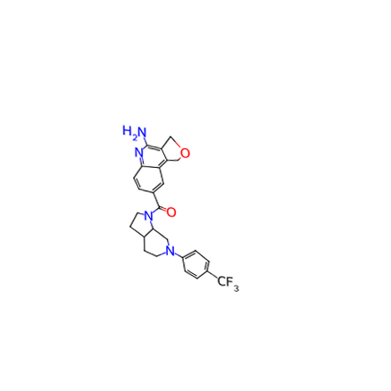 Nc1nc2ccc(C(=O)N3CCC4CCN(c5ccc(C(F)(F)F)cc5)CC43)cc2c2c1COC2